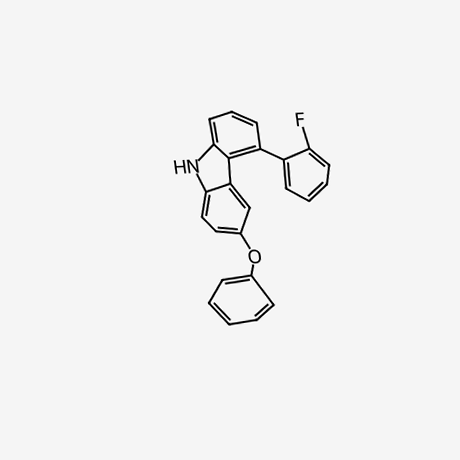 Fc1ccccc1-c1cccc2[nH]c3ccc(Oc4ccccc4)cc3c12